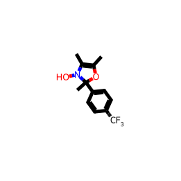 CC1=C(C)N(O)C(C)(c2ccc(C(F)(F)F)cc2)O1